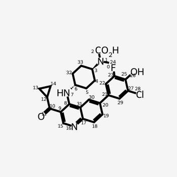 CN(C(=O)O)[C@H]1CC[C@H](Nc2c(C(=O)C3CC3)cnc3ccc(-c4cc(F)c(O)c(Cl)c4)cc23)CC1